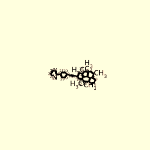 Cc1cc2c3c4c(cccc14)C(C)(C)c1cc(C#Cc4ccc(-c5ccccn5)cc4)cc(c1-3)C2(C)C